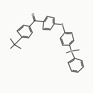 CC(C)(C)c1ccc(C(=O)c2ccc(Sc3ccc(S(C)(C)c4ccccc4)cc3)cc2)cc1